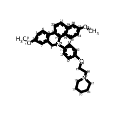 COc1ccc2c(c1)CN(c1ccc(OCCN3CCCCC3)cc1)c1c-2ccc2cc(OC)ccc12